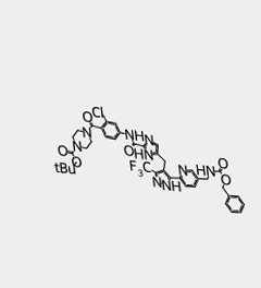 CC(C)(C)OC(=O)N1CCN(C(=O)c2ccc(NC(=O)c3ncc(Cc4c(C(F)(F)F)n[nH]c4-c4ccc(CNC(=O)OCc5ccccc5)cn4)[nH]3)cc2Cl)CC1